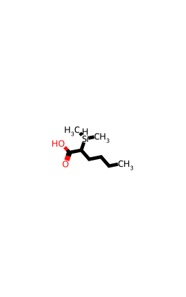 CCCCC(C(=O)O)[SiH](C)C